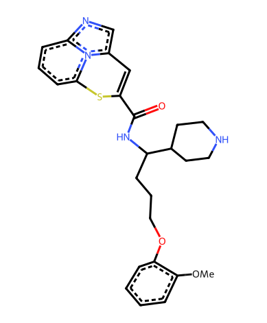 COc1ccccc1OCCCC(NC(=O)C1=Cc2cnc3cccc(n23)S1)C1CCNCC1